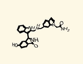 NC(=O)Cn1ccc2ccc(CNCc3[nH]c4ccccc4c3C3NC(=O)c4ccc(O)cc43)cc21